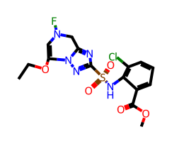 CCOC1=CN(F)Cc2nc(S(=O)(=O)Nc3c(Cl)cccc3C(=O)OC)nn21